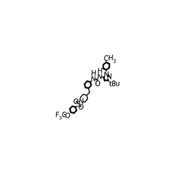 Cc1ccc(-n2nc(C(C)(C)C)cc2NC(=O)Nc2cccc(CC3CCN(S(=O)(=O)c4ccc(OC(F)(F)F)cc4)CC3)c2)cc1